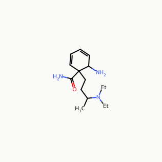 CCN(CC)C(C)CCC1(C(N)=O)C=CC=CC1N